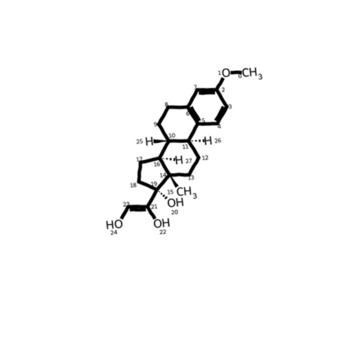 COc1ccc2c(c1)CC[C@@H]1[C@@H]2CC[C@@]2(C)[C@H]1CC[C@]2(O)C(O)=CO